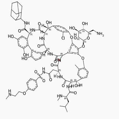 CNCCOc1ccc(S(=O)(=O)NC(=O)C[C@@H]2NC(=O)[C@H](NC(=O)[C@@H](CC(C)C)NC)[C@H](O)c3ccc(c(C)c3)Oc3cc4cc(c3O[C@@H]3O[C@H](CN)[C@@H](O)[C@H](O)[C@H]3O)Oc3ccc(cc3Cl)[C@@H](O)[C@@H]3NC(=O)[C@H](NC(=O)[C@@H]4NC2=O)c2ccc(O)c(c2)-c2c(O)cc(O)cc2[C@@H](C(=O)NC2C4CC5CC(C4)CC2C5)NC3=O)cc1